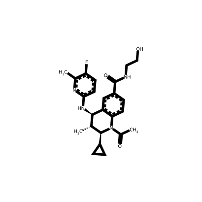 CC(=O)N1c2ccc(C(=O)NCCO)cc2[C@H](Nc2ccc(F)c(C)n2)[C@@H](C)[C@@H]1C1CC1